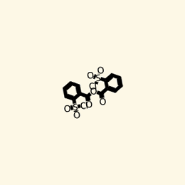 O=C(OC(=O)c1ccccc1S(=O)(=O)Cl)c1ccccc1S(=O)(=O)Cl